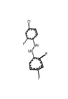 Fc1ccc(NNc2ccc(Cl)cc2F)c(F)c1